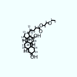 CCOCCOC(=O)CC[C@@H](C)[C@H]1CC[C@H]2[C@@H]3CC[C@@H]4C[C@H](O)CC[C@]4(C)[C@H]3C[C@H](O)[C@]12C